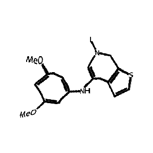 COc1cc(NC2=CN(I)Cc3sccc32)cc(OC)c1